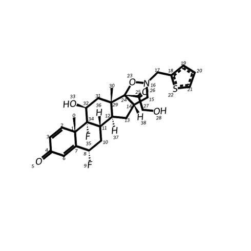 C[C@]12C=CC(=O)C=C1[C@@H](F)C[C@H]1[C@@H]3C[C@H]4CN(Cc5cccs5)O[C@@]4(C(=O)CO)[C@@]3(C)C[C@H](O)[C@@]12F